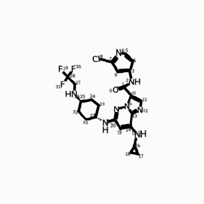 O=C(Nc1ccnc(Cl)c1)c1cnc2c(NC3CC3)cc(N[C@H]3CC[C@H](NCC(F)(F)F)CC3)nn12